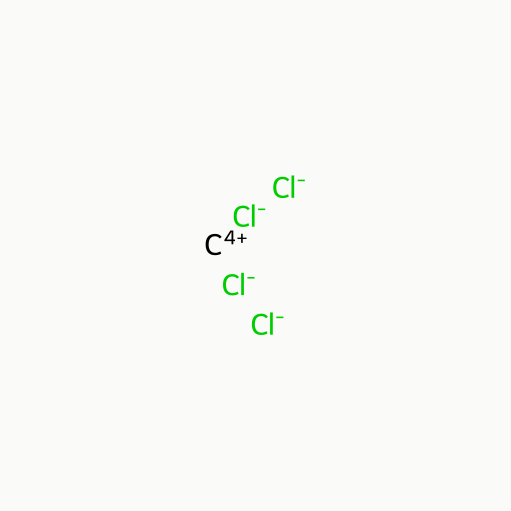 [C+4].[Cl-].[Cl-].[Cl-].[Cl-]